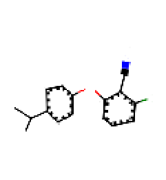 CC(C)c1ccc(Oc2cccc(Cl)c2C#N)cc1